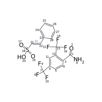 NC(=O)c1ccc(C(F)(F)F)cc1C(F)(F)F.O=S(=O)(O)/C=C/c1ccccc1